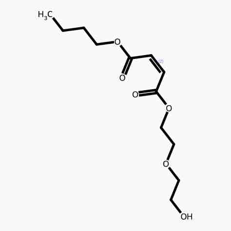 CCCCOC(=O)/C=C\C(=O)OCCOCCO